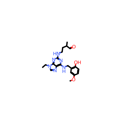 CCn1cnc2c(NCc3cc(OC)ccc3O)nc(NCCC(C)C=O)nc21